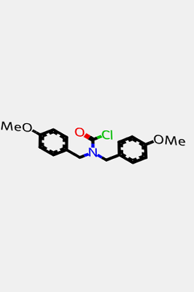 COc1ccc(CN(Cc2ccc(OC)cc2)C(=O)Cl)cc1